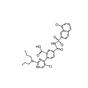 CCCN(CCC)c1ncc(Cl)c(-c2ccc(C(=O)NS(=O)(=O)c3ccc4cccc(Cl)c4c3)cc2C(=O)O)n1